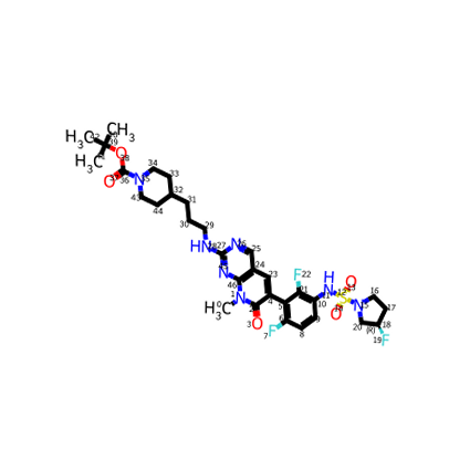 Cn1c(=O)c(-c2c(F)ccc(NS(=O)(=O)N3CC[C@@H](F)C3)c2F)cc2cnc(NCCCC3CCN(C(=O)OC(C)(C)C)CC3)nc21